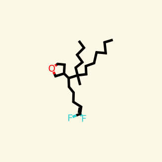 CCCCCCCC(C)(CCCCC)C(CCCC=C(F)F)C1CCOC1